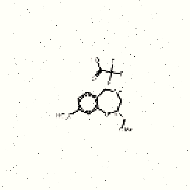 COC[C@H]1CNCc2ccc(C(=O)O)cc2O1.O=C(O)C(F)(F)F